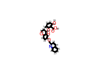 COC(=O)c1cc(C[C@H]2COc3ccc(OCc4ccc5ccccc5n4)cc3[C@@H]2O)ccc1OC